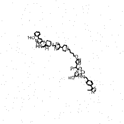 Cc1ncsc1-c1ccc(CNC(=O)[C@@H]2C[C@@H](O)CN2C(=O)C(c2cc(OCCCCN3CCC(c4cnc(N5CCN6c7cc(-c8ccccc8O)nnc7NC[C@@H]6C5)nc4)CC3)no2)C(C)C)cc1